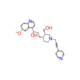 COc1ccc2nccc([C@H](O)CC[C@@H]3CCN(CC#Cc4ccncc4)C[C@@H]3CO)c2c1